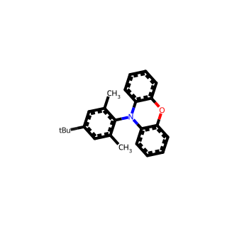 Cc1cc(C(C)(C)C)cc(C)c1N1c2ccccc2Oc2ccccc21